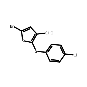 O=Cc1cc(Br)sc1Sc1ccc(Cl)cc1